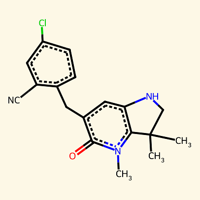 Cn1c2c(cc(Cc3ccc(Cl)cc3C#N)c1=O)NCC2(C)C